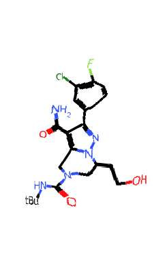 CC(C)(C)NC(=O)N1Cc2c(C(N)=O)c(-c3ccc(F)c(Cl)c3)nn2C(CCO)C1